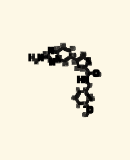 COc1cccc(CNC(=O)c2cc(-c3ccc4nc(N)nn4c3)cs2)n1